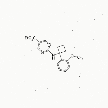 CCOC(=O)c1cnc(NC2(c3ccccc3OC(F)(F)F)CCC2)nc1